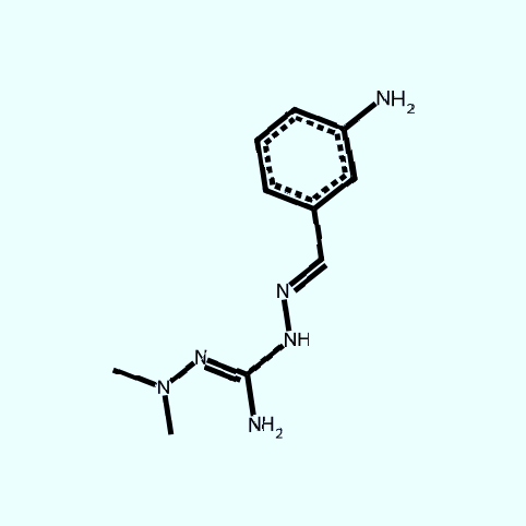 CN(C)N=C(N)NN=Cc1cccc(N)c1